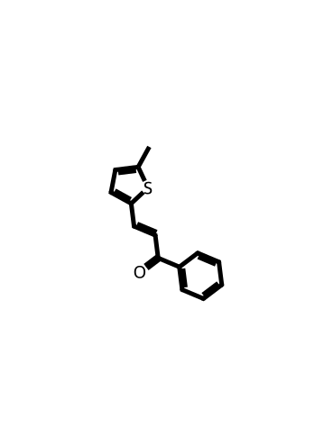 Cc1ccc(C=CC(=O)c2ccccc2)s1